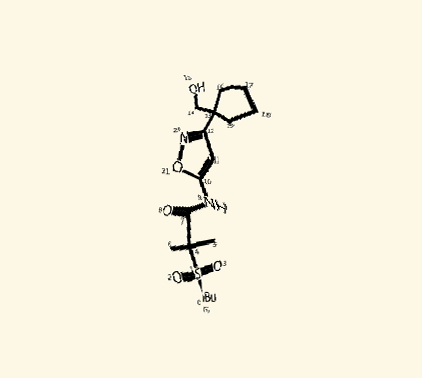 CC[C@H](C)S(=O)(=O)C(C)(C)C(=O)Nc1cc(C2(CO)CCCC2)no1